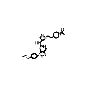 CCOc1ccc(-n2nnc3cnc(Nc4cnn(CCC5CCN(C(C)=O)CC5)c4)nc32)cc1